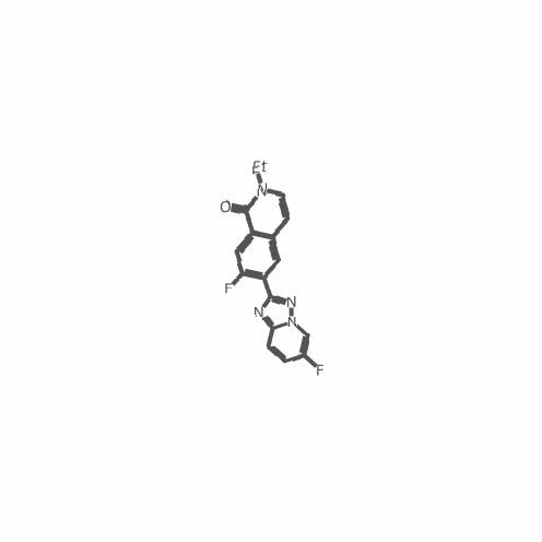 CCn1ccc2cc(-c3nc4ccc(F)cn4n3)c(F)cc2c1=O